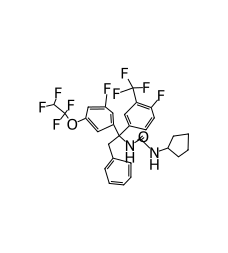 O=C(NC1CCCC1)NC(Cc1ccccc1)(c1cc(F)cc(OC(F)(F)C(F)F)c1)c1ccc(F)c(C(F)(F)F)c1